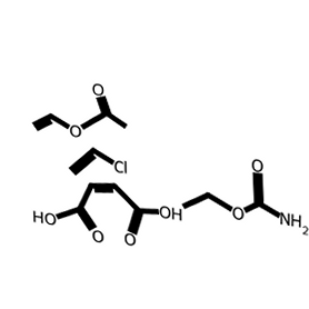 C=CCl.C=COC(C)=O.CCOC(N)=O.O=C(O)/C=C\C(=O)O